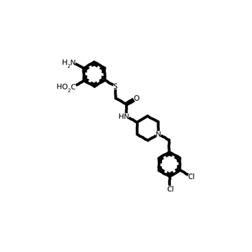 Nc1ccc(SCC(=O)NC2CCN(Cc3ccc(Cl)c(Cl)c3)CC2)cc1C(=O)O